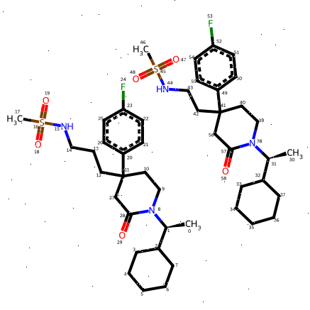 C[C@@H](C1CCCCC1)N1CCC(CCCNS(C)(=O)=O)(c2ccc(F)cc2)CC1=O.C[C@@H](C1CCCCC1)N1CCC(CCNS(C)(=O)=O)(c2ccc(F)cc2)CC1=O